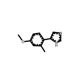 COc1ccc(-c2cn[c][nH]2)c(C)c1